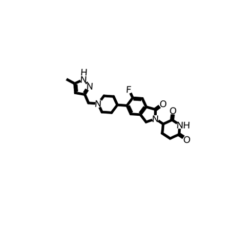 Cc1cc(CN2CCC(c3cc4c(cc3F)C(=O)N(C3CCC(=O)NC3=O)C4)CC2)n[nH]1